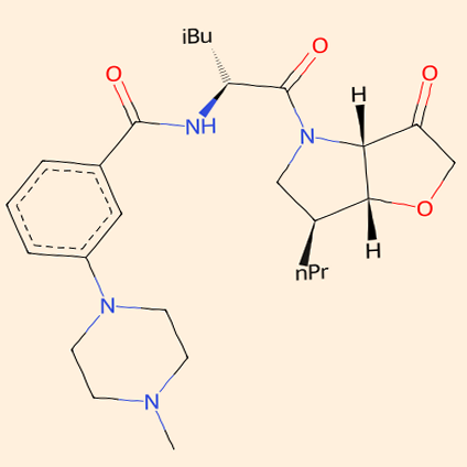 CCC[C@H]1CN(C(=O)[C@@H](NC(=O)c2cccc(N3CCN(C)CC3)c2)[C@@H](C)CC)[C@@H]2C(=O)CO[C@H]12